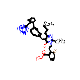 CCCCc1nc(C)n(CCC2=C(C(=O)O)C=CCC2=S)c(=O)c1Cc1ccc(-c2ccccc2-c2nnn[nH]2)cc1